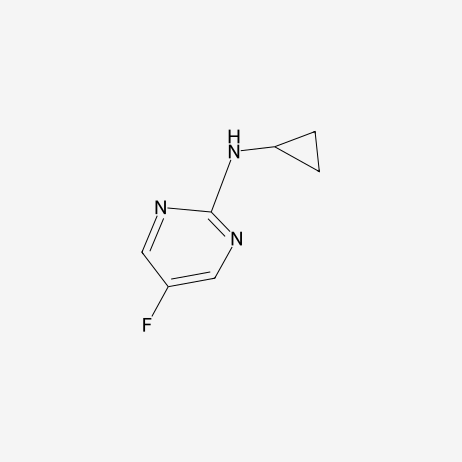 Fc1cnc(NC2CC2)nc1